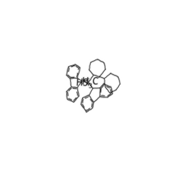 CC1(C2CCCCCC2)CCCCCC1[SiH](C1c2ccccc2-c2ccccc21)C1c2ccccc2-c2ccccc21